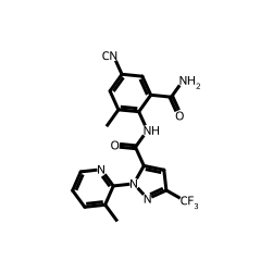 [C-]#[N+]c1cc(C)c(NC(=O)c2cc(C(F)(F)F)nn2-c2ncccc2C)c(C(N)=O)c1